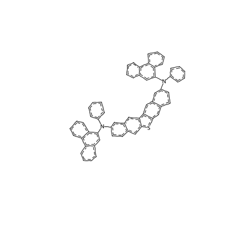 c1ccc(N(c2ccc3cc4sc5cc6ccc(N(c7ccccc7)c7cc8ccccc8c8ccccc78)cc6cc5c4cc3c2)c2cc3ccccc3c3ccccc23)cc1